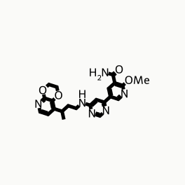 COc1ncc(-c2cc(NCCC(C)c3ccnc4c3OCCO4)ncn2)cc1C(N)=O